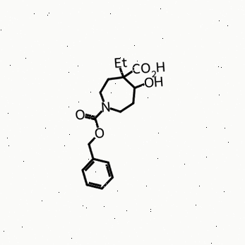 CCC1(C(=O)O)CCN(C(=O)OCc2ccccc2)CCC1O